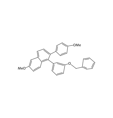 COc1ccc(-c2ccc3cc(OC)ccc3c2-c2cccc(OCc3ccccc3)c2)cc1